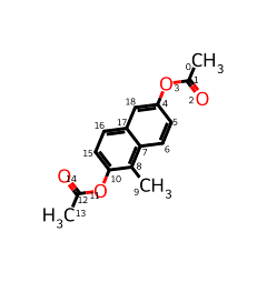 CC(=O)Oc1ccc2c(C)c(OC(C)=O)ccc2c1